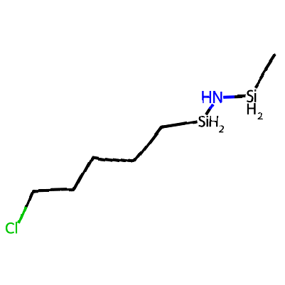 C[SiH2]N[SiH2]CCCCCCl